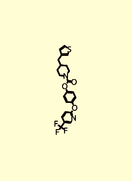 O=C(Oc1ccc(Oc2ccc(C(F)(F)F)cn2)cc1)N1CCC(Cc2ccsc2)CC1